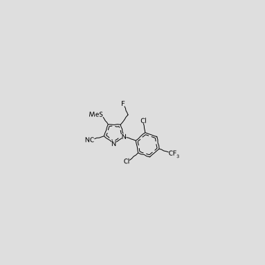 CSc1c(C#N)nn(-c2c(Cl)cc(C(F)(F)F)cc2Cl)c1CF